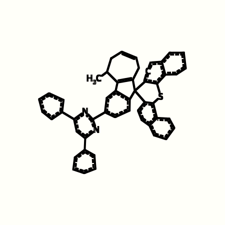 CC1CC=CCC2=C1c1cc(-c3nc(-c4ccccc4)cc(-c4ccccc4)n3)ccc1C21c2ccc3ccccc3c2Sc2c1ccc1ccccc21